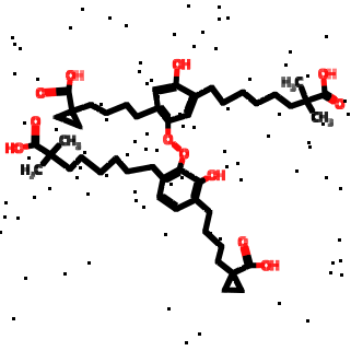 CC(C)(CCCCCCc1cc(OOc2c(CCCCCCC(C)(C)C(=O)O)ccc(CCCCC3(C(=O)O)CC3)c2O)c(CCCCC2(C(=O)O)CC2)cc1O)C(=O)O